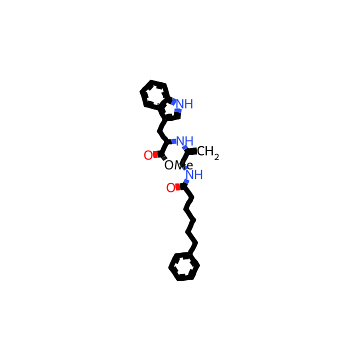 C=C(CNC(=O)CCCCCc1ccccc1)NC(Cc1c[nH]c2ccccc12)C(=O)OC